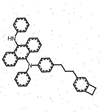 c1ccc(Nc2c3ccccc3c(N(c3ccccc3)c3ccc(CCCc4ccc5c(c4)CC5)cc3)c3ccccc23)cc1